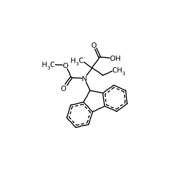 CCC(C)(C(=O)O)N(C(=O)OC)C1c2ccccc2-c2ccccc21